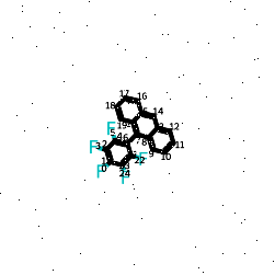 Fc1c(F)c(F)c(-c2c3ccccc3cc3ccccc23)c(F)c1F